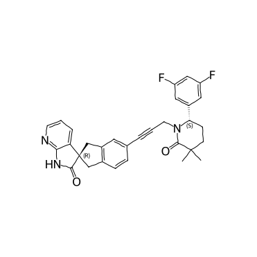 CC1(C)CC[C@@H](c2cc(F)cc(F)c2)N(CC#Cc2ccc3c(c2)C[C@@]2(C3)C(=O)Nc3ncccc32)C1=O